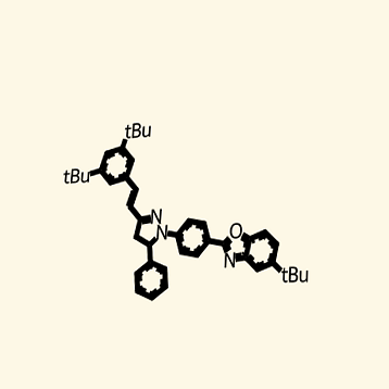 CC(C)(C)c1cc(C=CC2=NN(c3ccc(-c4nc5cc(C(C)(C)C)ccc5o4)cc3)C(c3ccccc3)C2)cc(C(C)(C)C)c1